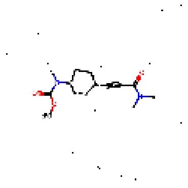 CN(C)C(=O)C#CC1CCC(N(C)C(=O)OC(C)(C)C)CC1